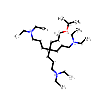 CCN(CC)CCCC(CCCN(CC)CC)(CCCN(CC)CC)CC[SiH2]OC(C)C